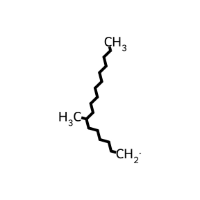 [CH2]CCCCCC(C)CCCCCCCCCC